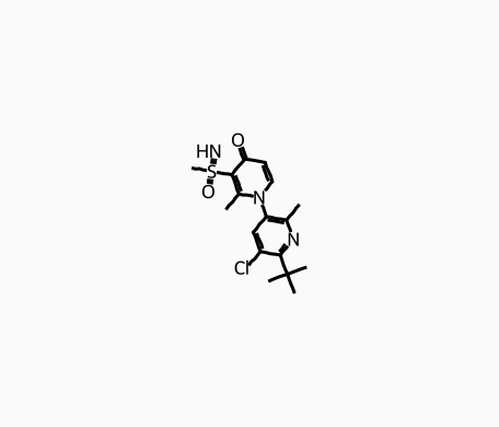 Cc1nc(C(C)(C)C)c(Cl)cc1-n1ccc(=O)c(S(C)(=N)=O)c1C